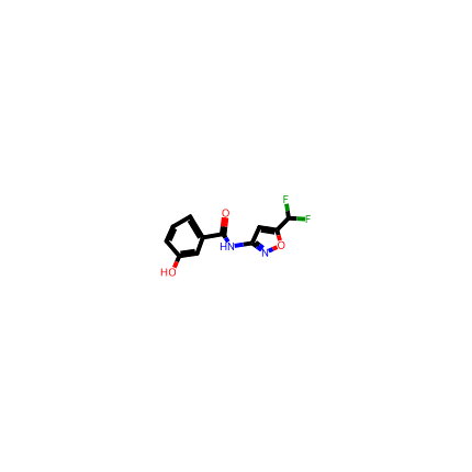 O=C(Nc1cc(C(F)F)on1)c1cccc(O)c1